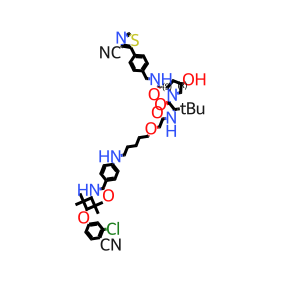 CC(C)(C)C(NC(=O)COCCCCCNc1ccc(C(=O)N[C@H]2C(C)(C)[C@H](Oc3ccc(C#N)c(Cl)c3)C2(C)C)cc1)C(=O)N1C[C@H](O)C[C@H]1C(=O)NCc1ccc(-c2scnc2C#N)cc1